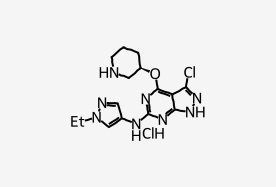 CCn1cc(Nc2nc(O[C@@H]3CCCNC3)c3c(Cl)n[nH]c3n2)cn1.Cl